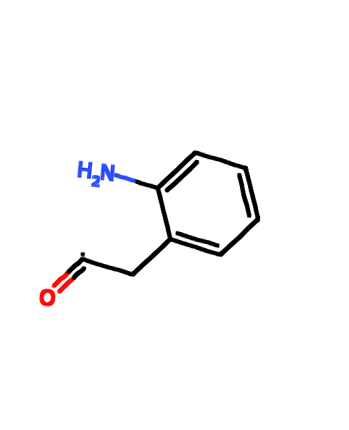 Nc1ccccc1C[C]=O